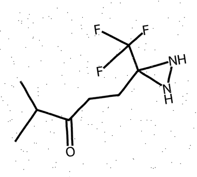 CC(C)C(=O)CCC1(C(F)(F)F)NN1